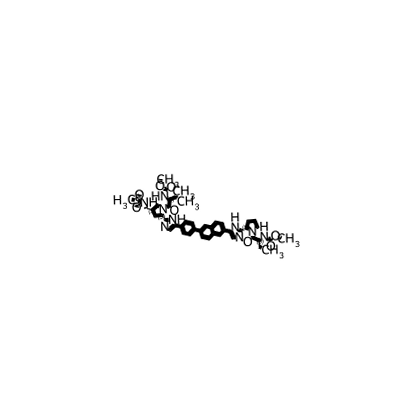 CC[C@H](NC(=O)OC)C(=O)N1CCC[C@H]1c1ncc(-c2ccc3cc(-c4ccc(-c5cnc([C@@H]6C[C@H](CNS(C)(=O)=O)CN6C(=O)[C@@H](NC(=O)OC)C(C)C)[nH]5)cc4)ccc3c2)[nH]1